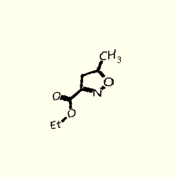 CCOC(=O)C1=NOC(C)C1